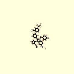 COC(=O)c1ccc(-c2cccc(-c3c(-c4ccsc4C#N)c4cc(P)ccc4n3Sc3ccc(F)cc3)c2)c(Cl)c1